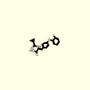 O=C(O)C(=Cc1ccc(Oc2ccccc2I)cc1)NC(=O)C1CC1